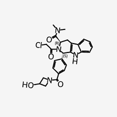 CN(C)C(=O)[C@H]1Cc2c([nH]c3ccccc23)[C@H](c2ccc(C(=O)N3CC(O)C3)cc2)N1C(=O)CCl